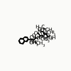 CN[C@H](C(=O)NC(C(=O)N(C)[C@H](/C=C(\C)C(=O)O)C(C)C)C(C)(C)C)C(C)(C)c1ccc2ccccc2c1